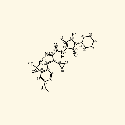 COc1ccc(-c2onc(C(=O)Nc3c(C)n(C)n(C4CCCCC4)c3=O)c2C2CC2)c(C(F)(F)F)c1